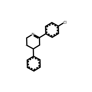 Clc1ccc(C2=NC[CH]C(c3ccccc3)C2)cc1